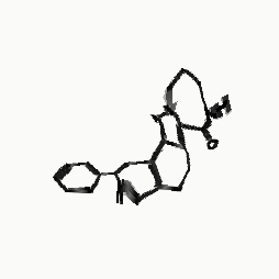 O=C1NCCCn2nc3c(c21)CCc1cnc(-c2ccccc2)cc1-3